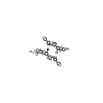 CC(O)C(=O)N1CC[C@H](Oc2ccc(-c3ncnc(Nc4ccc(C5CCOCC5)cc4)n3)cc2C#N)[C@H](F)C1.N#Cc1cc(-c2ncnc(Nc3ccc(C4CCOCC4)cc3)n2)ccc1O[C@H]1CCNC[C@H]1F